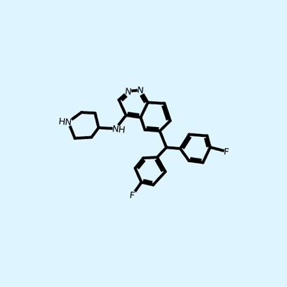 Fc1ccc(C(c2ccc(F)cc2)c2ccc3nncc(NC4CCNCC4)c3c2)cc1